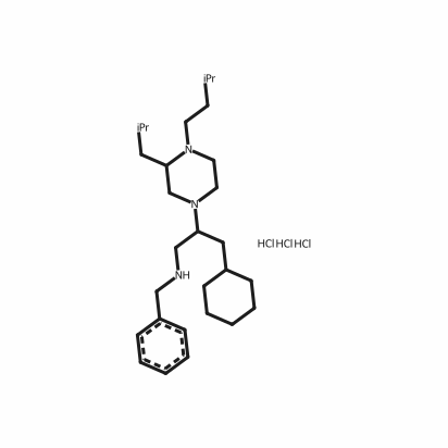 CC(C)CCN1CCN(C(CNCc2ccccc2)CC2CCCCC2)CC1CC(C)C.Cl.Cl.Cl